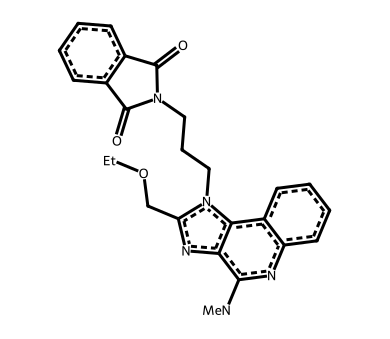 CCOCc1nc2c(NC)nc3ccccc3c2n1CCCN1C(=O)c2ccccc2C1=O